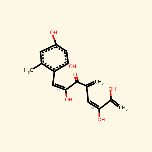 C=C(/C=C(/O)C(=C)O)C(=O)/C(O)=C\c1c(C)cc(O)cc1O